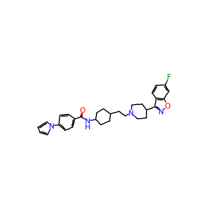 O=C(NC1CCC(CCN2CCC(c3noc4cc(F)ccc34)CC2)CC1)c1ccc(-n2cccc2)cc1